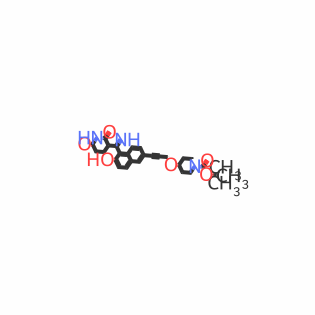 CC(C)(C)OC(=O)N1CCC(OCC#Cc2ccc3c(C(=N)C4CCC(=O)NC4=O)c(O)ccc3c2)CC1